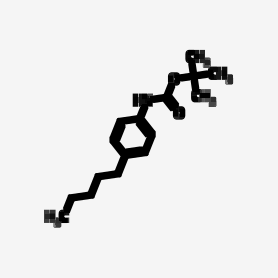 CCCCCc1ccc(NC(=O)OC(C)(C)C)cc1